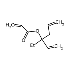 C=CCC(C=C)(CC)OC(=O)C=C